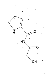 O=C(CO)NC(=O)c1ccc[nH]1